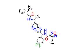 C[C@H](CC(=O)NC(c1cnn2cc([C@@H](NC(=O)c3nonc3C3CC3)C3CCC(F)(F)CC3)nc2c1)C1CC1)C(F)(F)F